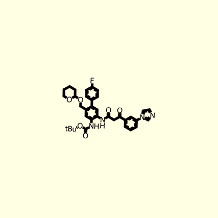 CC(C)(C)OC(=O)Nc1cc(COC2CCCCO2)c(-c2ccc(F)cc2)cc1NC(=O)CC(=O)c1cccc(-n2ccnc2)c1